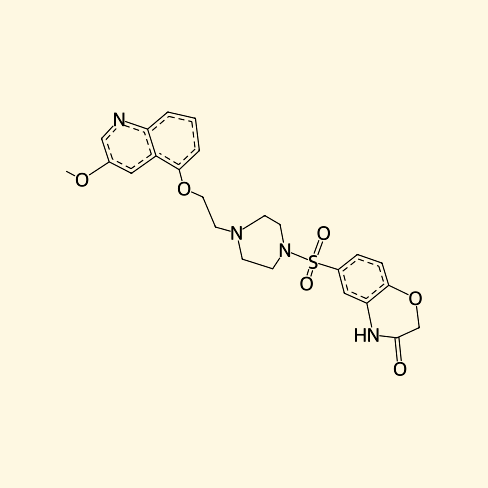 COc1cnc2cccc(OCCN3CCN(S(=O)(=O)c4ccc5c(c4)NC(=O)CO5)CC3)c2c1